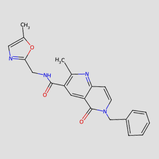 Cc1cnc(CNC(=O)c2cc3c(=O)n(Cc4ccccc4)ccc3nc2C)o1